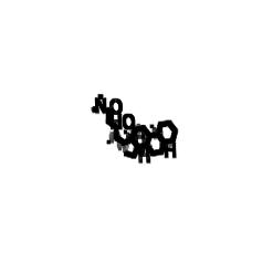 C[C@H](CCC(=O)N(C)C)[C@H]1CC[C@H]2[C@@H]3CC[C@@H]4CCCC[C@]4(C)C3C[C@H](O)[C@]12C